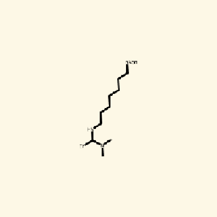 CCCCCCCCCCCCCCCCNC(CC)N(C)C